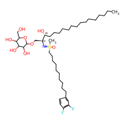 CCCCCCCCCCCCCCC[C@@H](O)[C@H](COC1OC(CO)C(O)C(O)C1O)N=S(C)(=O)CCCCCCCCCCc1ccc(F)c(F)c1